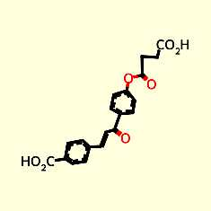 O=C(O)CCC(=O)Oc1ccc(C(=O)C=Cc2ccc(C(=O)O)cc2)cc1